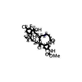 COC(=O)Nc1ccc2c(c1)NC(=O)CC/C=C/C[C@H](NCCC(C)(O)c1c(F)ccc(Cl)c1F)c1nc-2c(Cl)n1COCC[Si](C)(C)C